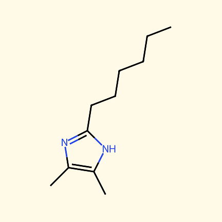 CCCCCCc1nc(C)c(C)[nH]1